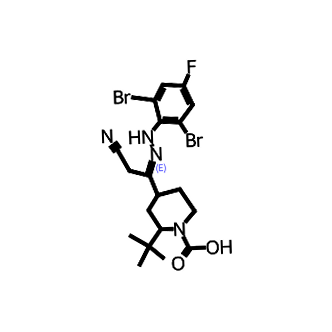 CC(C)(C)C1CC(/C(CC#N)=N/Nc2c(Br)cc(F)cc2Br)CCN1C(=O)O